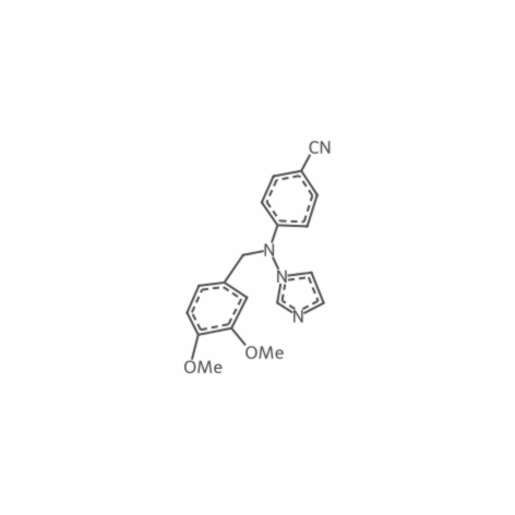 COc1ccc(CN(c2ccc(C#N)cc2)n2ccnc2)cc1OC